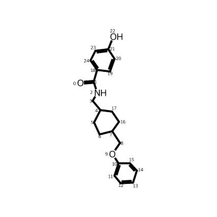 O=C(NCC1CCC(COc2ccccc2)CC1)c1ccc(O)cc1